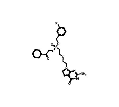 Nc1nc2c(ncn2CCOCCP(=O)(OCC(=O)c2ccccc2)OCc2cccc(Br)c2)c(=O)[nH]1